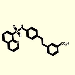 O=C(O)c1cccc(CCc2ccc(NS(=O)(=O)c3cccc4cccnc34)cc2)c1